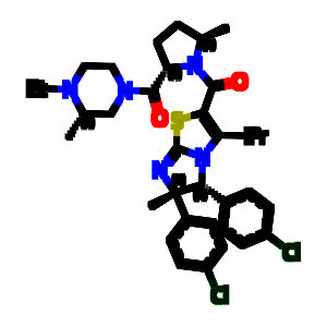 CCN1CCN(C(=O)[C@@H]2CC[C@@H](C)N2C(=O)C2=C(C(C)C)N3C(=N[C@@](C)(c4ccc(Cl)cc4)[C@H]3c3ccc(Cl)cc3)S2)C[C@@H]1C